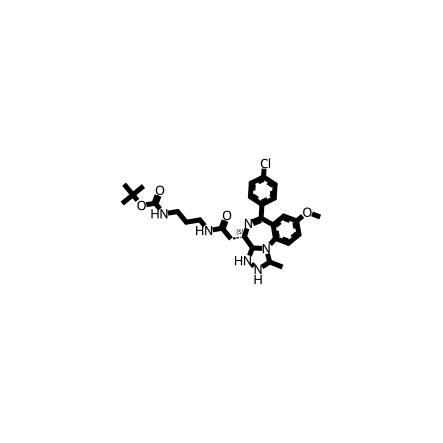 COc1ccc2c(c1)C(c1ccc(Cl)cc1)=N[C@@H](CC(=O)NCCCNC(=O)OC(C)(C)C)C1NNC(C)N21